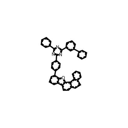 c1ccc(-c2cccc(-c3nc(-c4ccccc4)nc(-c4ccc(-c5cccc6c5oc5c6ccc6ccc7ccccc7c65)cc4)n3)c2)cc1